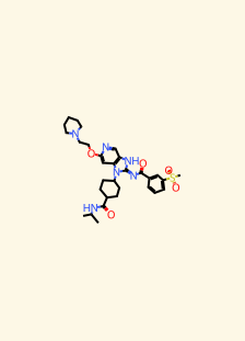 CC(C)NC(=O)C1CCC(n2/c(=N/C(=O)c3cccc(S(C)(=O)=O)c3)[nH]c3cnc(OCCN4CCCCC4)cc32)CC1